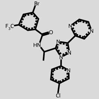 CC(NC(=O)c1cc(Br)cc(C(F)(F)F)c1)c1nc(-c2cnccn2)nn1-c1ccc(Cl)cn1